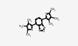 Cc1sc(-c2ccc(-c3sc(C)c(C)c3C)c3nonc23)c(C)c1C